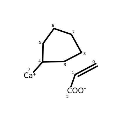 C=CC(=O)[O-].[Ca+][CH]1CCCCC1